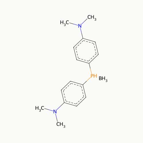 B.CN(C)c1ccc(Pc2ccc(N(C)C)cc2)cc1